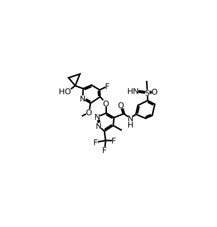 COc1nc(C2(O)CC2)cc(F)c1Oc1nnc(C(F)(F)F)c(C)c1C(=O)Nc1cccc(S(C)(=N)=O)c1